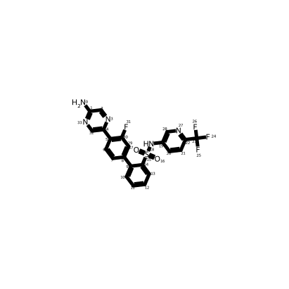 Nc1cnc(-c2ccc(-c3ccccc3S(=O)(=O)Nc3ccc(C(F)(F)F)nc3)cc2F)cn1